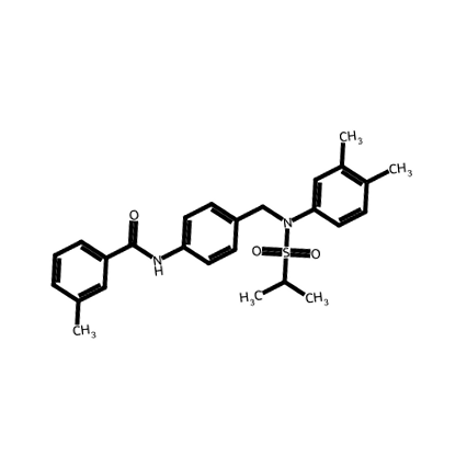 Cc1cccc(C(=O)Nc2ccc(CN(c3ccc(C)c(C)c3)S(=O)(=O)C(C)C)cc2)c1